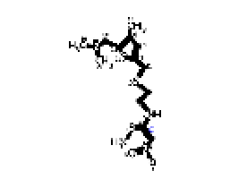 CS/C(=C\[N+](=O)[O-])NCCSCc1cc(C)c(CN(C)C)s1